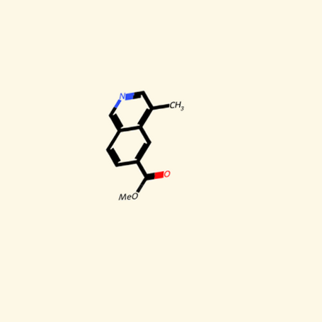 COC(=O)c1ccc2cncc(C)c2c1